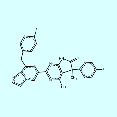 CC1(c2ccc(F)cn2)C(=O)Nc2nc(-c3cn4ccnc4c(Cc4ccc(F)cc4)n3)nc(O)c21